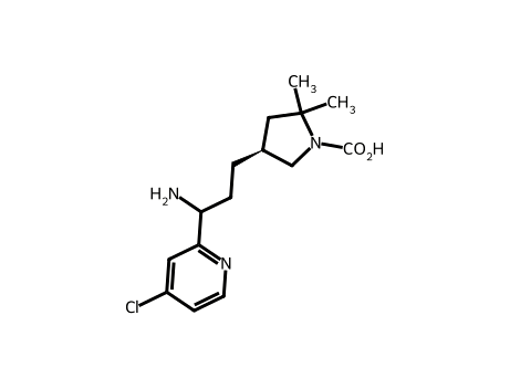 CC1(C)C[C@H](CCC(N)c2cc(Cl)ccn2)CN1C(=O)O